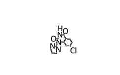 O=c1[nH]c(=O)n(-c2ncccn2)c2cc(Cl)ccc12